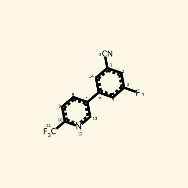 N#Cc1cc(F)cc(-c2ccc(C(F)(F)F)nc2)c1